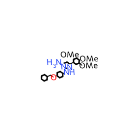 COc1cc(-c2ccnc(Nc3ccc(OCc4ccccc4)cc3)n2)cc(OC)c1OC.N